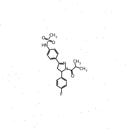 CC(C)C(=O)N1N=C(c2ccc(NS(C)(=O)=O)cc2)CC1c1ccc(F)cc1